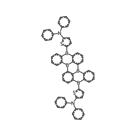 c1ccc(N(c2ccccc2)c2ccc(B3c4ccccc4B4c5cccc6c5B(c5ccccc5B6c5ccc(N(c6ccccc6)c6ccccc6)s5)c5cccc3c54)s2)cc1